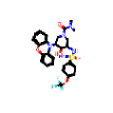 CN(C)C(=O)N1CC(NS(=N)(=O)c2ccc(OC(F)(F)F)cc2)C(O)C(N2c3ccccc3Oc3ccccc32)C1